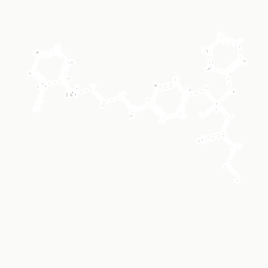 CCOC(=O)CC(C)(Cc1ccccc1)Cc1ccc(OCCCNc2cccc[n+]2[O-])cc1